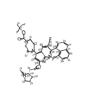 C[C@@H]1CN(C(=O)OC(C)(C)C)CCN1c1cc(OC[C@@H]2CCCN2C)nc2nc(-c3cccc4cccc(F)c34)c(F)cc12